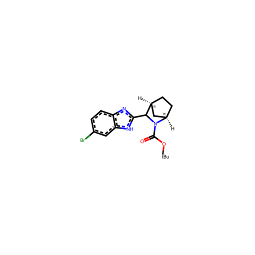 CC(C)(C)OC(=O)N1C(c2nc3ccc(Br)cc3[nH]2)[C@H]2CC[C@@H]1C2